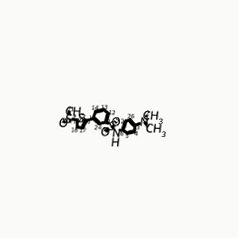 CN(C)c1ccc(NS(=O)(=O)c2cccc(C3=CCC([S+](C)[O-])S3)c2)cc1